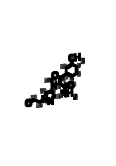 Cc1cccc(C2=C(C(N)=O)N(c3cnn(CC=O)c3)CO2)c1